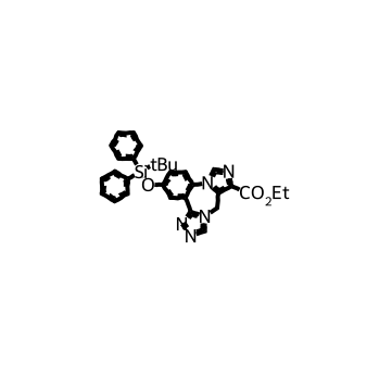 CCOC(=O)c1ncn2c1Cn1cnnc1-c1cc(O[Si](c3ccccc3)(c3ccccc3)C(C)(C)C)ccc1-2